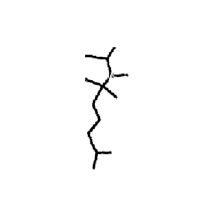 CC(C)CCCC(C)(C)N(C)C(C)C